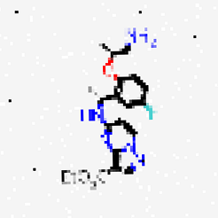 CCOC(=O)c1cnn2ccc(N[C@H](C)c3cc(F)ccc3O[C@@H](C)CN)nc12